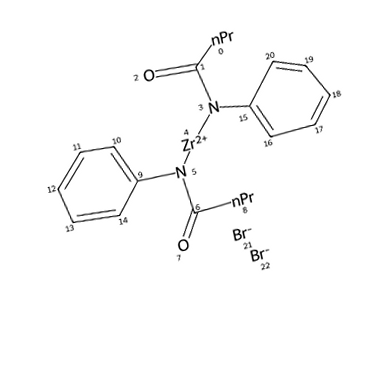 CCCC(=O)[N]([Zr+2][N](C(=O)CCC)c1ccccc1)c1ccccc1.[Br-].[Br-]